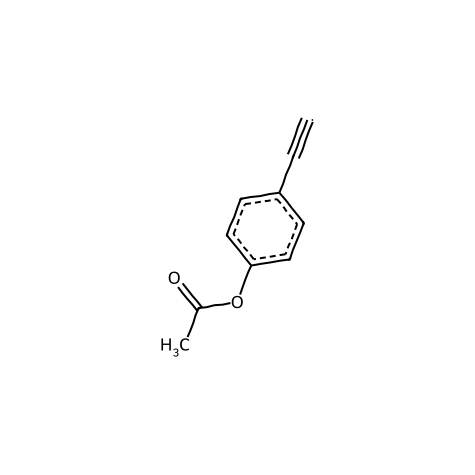 [C]#Cc1ccc(OC(C)=O)cc1